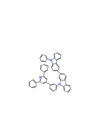 c1ccc(-c2cc(-c3cccc(-n4c5ccccc5c5ccc(-c6ccc7c(c6)c6ccccc6n7-c6ccccc6)cc54)c3)cc(-c3ccccc3)n2)cc1